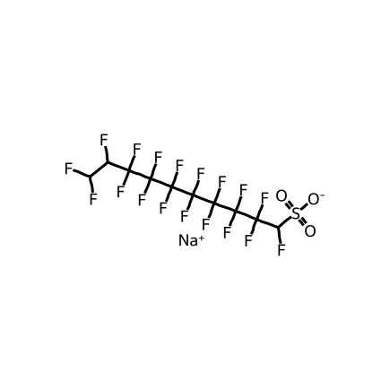 O=S(=O)([O-])C(F)C(F)(F)C(F)(F)C(F)(F)C(F)(F)C(F)(F)C(F)(F)C(F)(F)C(F)C(F)F.[Na+]